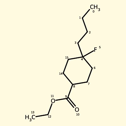 CCCCC1(F)CCC(C(=O)OCC)CC1